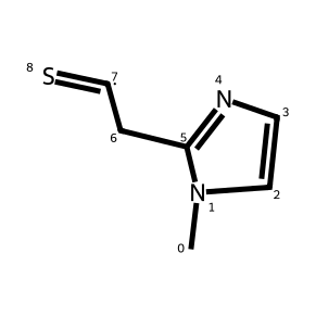 Cn1ccnc1C[C]=S